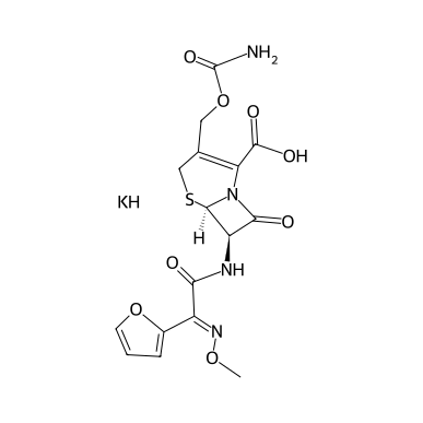 CON=C(C(=O)N[C@@H]1C(=O)N2C(C(=O)O)=C(COC(N)=O)CS[C@H]12)c1ccco1.[KH]